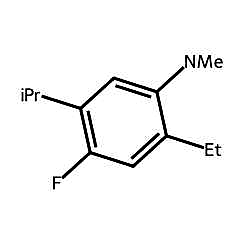 CCc1cc(F)c(C(C)C)cc1NC